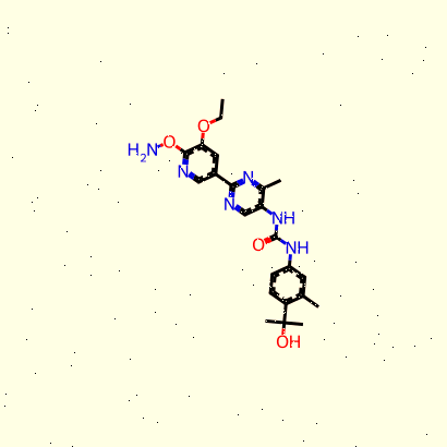 CCOc1cc(-c2ncc(NC(=O)Nc3ccc(C(C)(C)O)c(C)c3)c(C)n2)cnc1ON